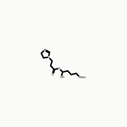 CCCCCCCCCCCCC(O)OC(=O)CCN1C=NCC1